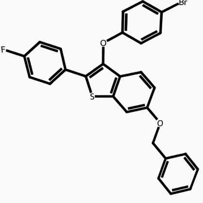 Fc1ccc(-c2sc3cc(OCc4ccccc4)ccc3c2Oc2ccc(Br)cc2)cc1